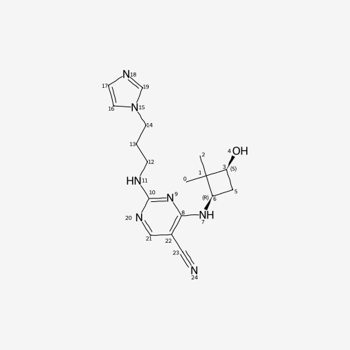 CC1(C)[C@@H](O)C[C@H]1Nc1nc(NCCCn2ccnc2)ncc1C#N